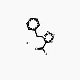 O=C([O-])c1nnnn1Cc1ccccc1.[K+]